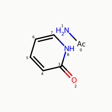 CC(N)=O.O=c1cccc[nH]1